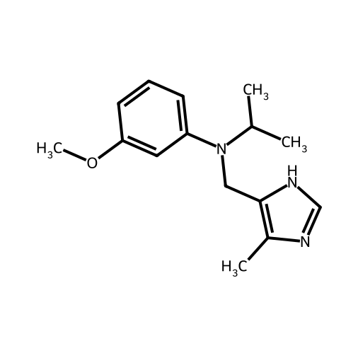 COc1cccc(N(Cc2[nH]cnc2C)C(C)C)c1